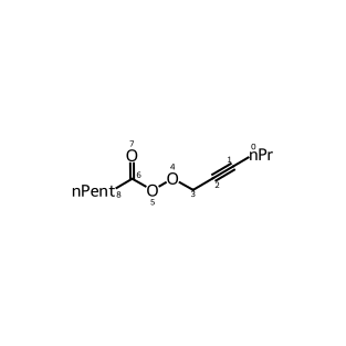 CCCC#CCOOC(=O)CCCCC